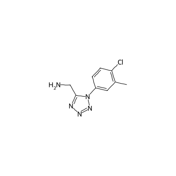 Cc1cc(-n2nnnc2CN)ccc1Cl